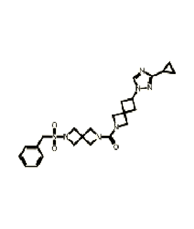 O=C(N1CC2(CC(n3cnc(C4CC4)n3)C2)C1)N1CC2(C1)CN(S(=O)(=O)Cc1ccccc1)C2